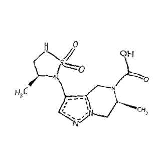 C[C@H]1Cn2ncc(N3[C@@H](C)CNS3(=O)=O)c2CN1C(=O)O